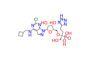 O=P(O)(O)[C@@](CO)(CCc1nn[nH]n1)OC[C@H]1O[C@@H](n2ncc3c(NCC4CCC4)nc(Cl)nc32)[C@H](O)[C@@H]1O